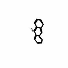 [Sn].c1ccc2cc3ccccc3cc2c1